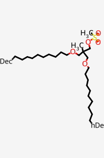 CCCCCCCCCCCCCCCCCCCCOCC(C)(COCCCCCCCCCCCCCCCCCCCC)COS(C)(=O)=O